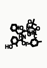 Cc1ccc(F)cc1CNC(=O)[C@H]1N(C(=O)[C@@H](O)[C@H](Cc2ccccc2)NC(=O)c2cccc(O)c2C)COC1(C)C